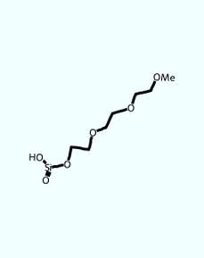 COCCOCCOCCO[Si](=O)O